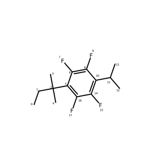 CCC(C)(C)c1c(F)c(F)c(C(C)C)c(F)c1F